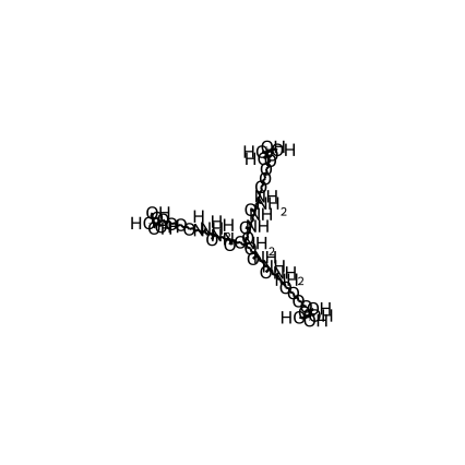 N/C(=C\NCCOCCOCCOCCO[C@H]1OC(CO)[C@@H](O)C(O)C1O)CCC(=O)NCCCNC(=O)CCOCC(N)(COCCC(=O)NCCCNC(=O)CC/C(N)=C/NCCOCCOCCOCCO[C@H]1OC(CO)[C@@H](O)C(O)C1O)COCCC(=O)NCCCNC(=O)CC/C(N)=C/NCCOCCOCCOCCO[C@H]1OC(CO)[C@@H](O)C(O)C1O